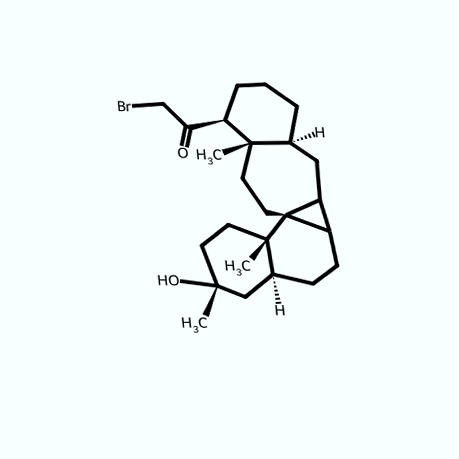 C[C@@]1(O)CC[C@@]2(C)[C@@H](CCC3C4C[C@@H]5CCC[C@H](C(=O)CBr)[C@@]5(C)CC[C@]342)C1